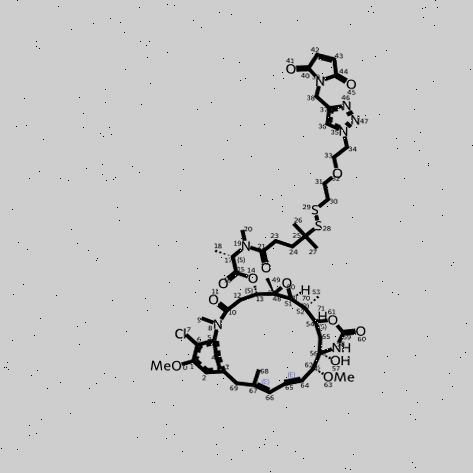 COc1cc2cc(c1Cl)N(C)C(=O)C[C@H](OC(=O)[C@H](C)N(C)C(=O)CCC(C)(C)SSCCOCCn1cc(CN3C(=O)C=CC3=O)nn1)[C@]1(C)O[C@H]1[C@H](C)[C@@H]1C[C@@](O)(NC(=O)O1)[C@H](OC)/C=C/C=C(\C)C2